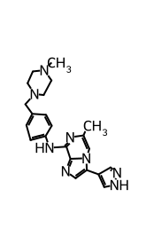 Cc1cn2c(-c3cn[nH]c3)cnc2c(Nc2ccc(CN3CCN(C)CC3)cc2)n1